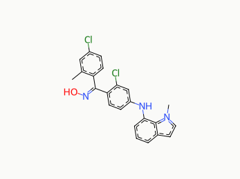 Cc1cc(Cl)ccc1C(=NO)c1ccc(Nc2cccc3ccn(C)c23)cc1Cl